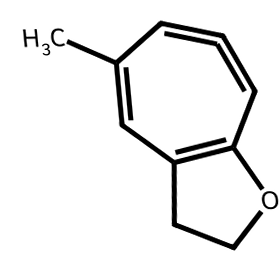 CC1=CC2=C(C=C=C1)OCC2